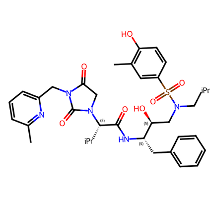 Cc1cccc(CN2C(=O)CN([C@H](C(=O)N[C@@H](Cc3ccccc3)[C@@H](O)CN(CC(C)C)S(=O)(=O)c3ccc(O)c(C)c3)C(C)C)C2=O)n1